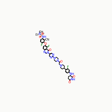 CCN(C)S(=O)(=O)Nc1ccc(F)c(Oc2ccc3ncn(-c4cnc(N5CCN(C(=O)CN6CCC(c7ccc(NC8CCC(=O)NC8=O)cc7F)CC6)CC5)nc4)c(=O)c3c2F)c1C#N